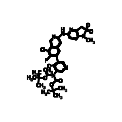 Cc1c(-c2cc3cc(Nc4ccc5c(n4)CS(=O)(=O)N5C)ncc3c(Cl)c2F)cncc1N(C(=O)OC(C)(C)C)C(=O)OC(C)(C)C